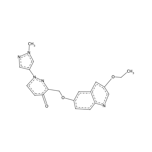 CCOc1cnc2ccc(OCc3nn(-c4cnn(C)c4)ccc3=O)cc2c1